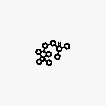 C1=C(c2ccccc2)C=C(c2cccc(-c3cccc(N4c5ccccc5-c5c(n(-c6ccccc6)c6ccccc56)-c5ccccc54)c3)c2)NC1c1ccccc1